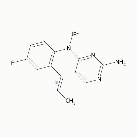 C/C=C/c1cc(F)ccc1N(c1ccnc(N)n1)C(C)C